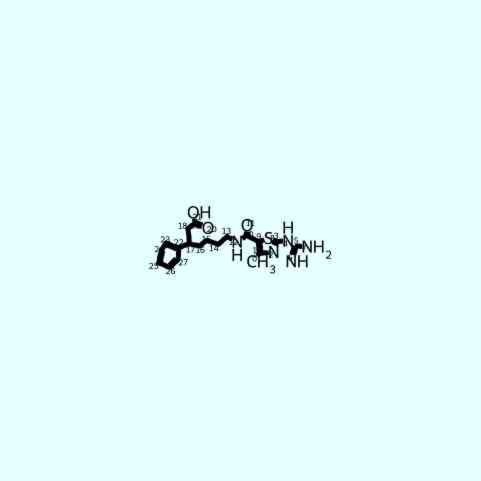 Cc1nc(NC(=N)N)sc1C(=O)NCCCCC(CC(=O)O)c1ccccc1